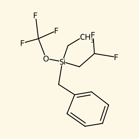 CC[Si](Cc1ccccc1)(CC(F)F)OC(F)(F)F